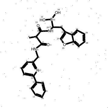 CC(C(=O)NCc1cccc(-c2ccccc2)n1)C(=O)NC(Cc1coc2ccccc12)B(O)O